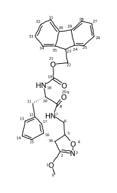 COC1=NOC(CNC(=O)[C@H](Cc2ccccc2)NC(=O)OCC2c3ccccc3-c3ccccc32)C1